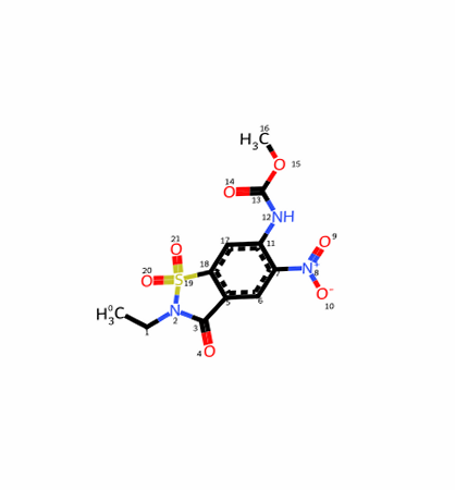 CCN1C(=O)c2cc([N+](=O)[O-])c(NC(=O)OC)cc2S1(=O)=O